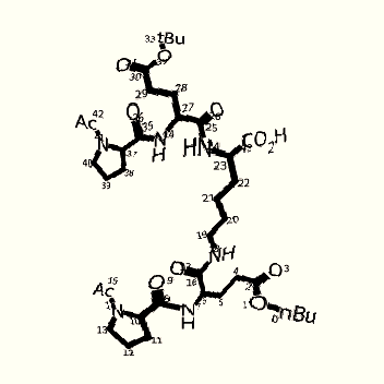 CCCCOC(=O)CCC(NC(=O)C1CCCN1C(C)=O)C(=O)NCCCCC(NC(=O)C(CCC(=O)OC(C)(C)C)NC(=O)C1CCCN1C(C)=O)C(=O)O